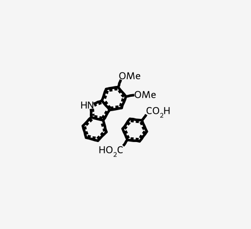 COc1cc2[nH]c3ccccc3c2cc1OC.O=C(O)c1ccc(C(=O)O)cc1